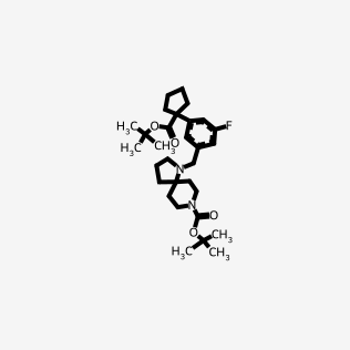 CC(C)(C)OC(=O)N1CCC2(CCCN2Cc2cc(F)cc(C3(C(=O)OC(C)(C)C)CCCC3)c2)CC1